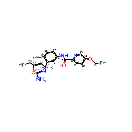 C[C@@]1(c2cc(NC(=O)c3ccc(OCF)cn3)ccc2F)C=C(CF)OC(N)=N1